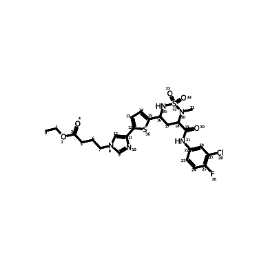 CCOC(=O)CCCn1cnc(-c2ccc(C3CC(C(=O)Nc4ccc(F)c(Cl)c4)N(C)S(=O)(=O)N3)s2)c1